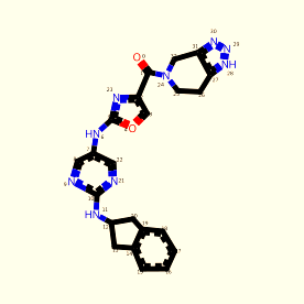 O=C(c1coc(Nc2cnc(NC3Cc4ccccc4C3)nc2)n1)N1CCc2[nH]nnc2C1